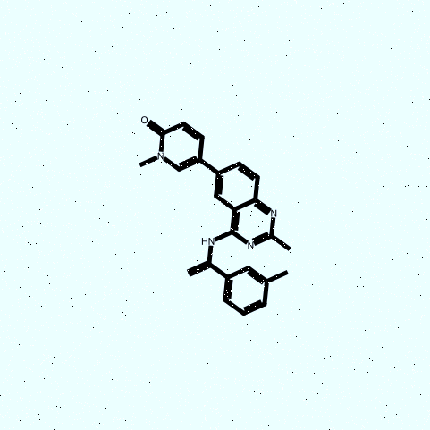 C=C(Nc1nc(C)nc2ccc(-c3ccc(=O)n(C)c3)cc12)c1cccc(C)c1